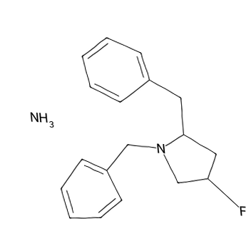 FC1CC(Cc2ccccc2)N(Cc2ccccc2)C1.N